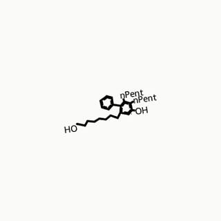 CCCCCc1c(O)[c]c(CCCCCCCCO)c(-c2ccccc2)c1CCCCC